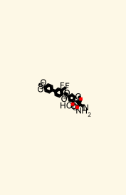 CO[C@@H]1C[C@H](S(=O)(=O)c2ccc(-c3ccc(S(C)(=O)=O)cc3)cc2C(F)(F)F)C[C@@]1(C(=O)O)C1CC1(C#N)C(N)=O